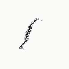 CCCCCCCCCCc1cnc(-c2ccc(OC(=O)c3ccc(-c4ncc(CCCCCCCCC)cn4)cc3)cc2)nc1